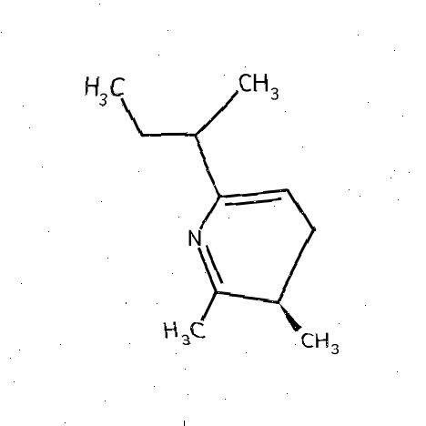 CCC(C)C1=CC[C@@H](C)C(C)=N1